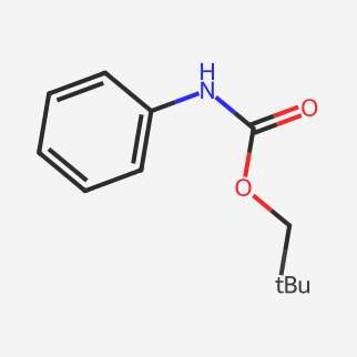 CC(C)(C)COC(=O)Nc1ccccc1